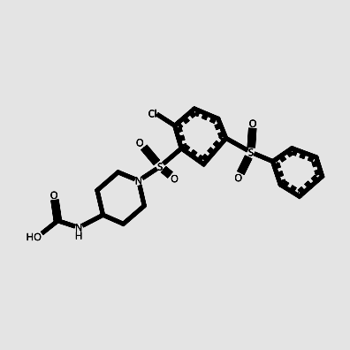 O=C(O)NC1CCN(S(=O)(=O)c2cc(S(=O)(=O)c3ccccc3)ccc2Cl)CC1